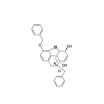 O[C@H]1C=C[C@@]2(O)[C@H]3Cc4ccc(OCc5ccccc5)c5c4[C@@]2(CCN3Cc2ccccc2)[C@H]1O5